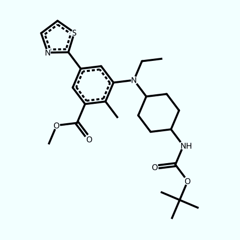 CCN(c1cc(-c2nccs2)cc(C(=O)OC)c1C)C1CCC(NC(=O)OC(C)(C)C)CC1